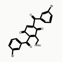 CCCCCCCCCCCC1=C(C(=O)c2cccc(Br)c2)C(=O)C=C(C(=O)c2cccc(Br)c2)C1=O